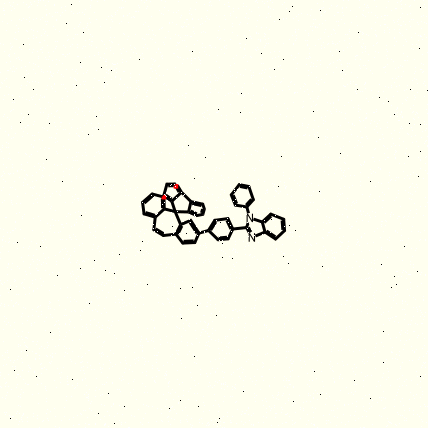 C1=Cc2ccc(-c3ccc(-c4nc5ccccc5n4-c4ccccc4)cc3)cc2C2(c3ccccc31)c1ccccc1-c1ccccc12